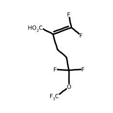 O=C(O)C(CCC(F)(F)OC(F)(F)F)=C(F)F